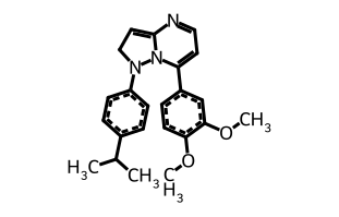 COc1ccc(C2=CC=NC3=CCN(c4ccc(C(C)C)cc4)N32)cc1OC